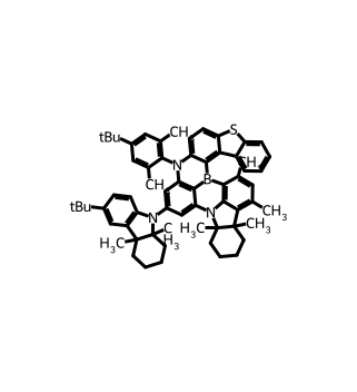 Cc1cc(C)c2c3c1B1c4c(cc(N5c6ccc(C(C)(C)C)cc6C6(C)CCCCC56C)cc4N3C3(C)CCCCC23C)N(c2c(C)cc(C(C)(C)C)cc2C)c2ccc3sc4ccccc4c3c21